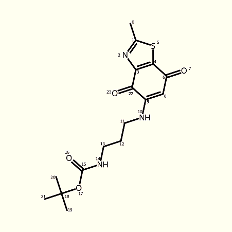 Cc1nc2c(s1)C(=O)C=C(NCCCNC(=O)OC(C)(C)C)C2=O